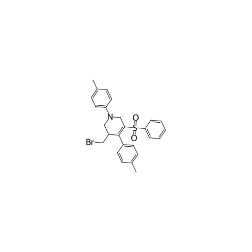 Cc1ccc(C2=C(S(=O)(=O)c3ccccc3)CN(c3ccc(C)cc3)CC2CBr)cc1